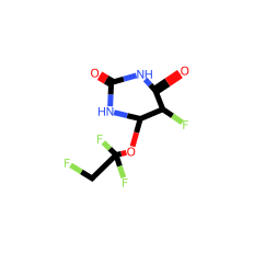 O=C1NC(=O)C(F)C(OC(F)(F)CF)N1